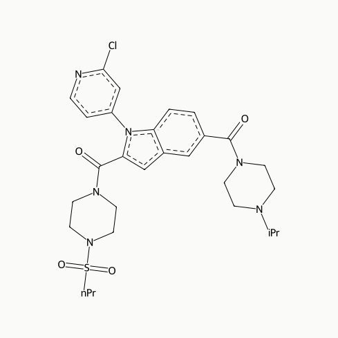 CCCS(=O)(=O)N1CCN(C(=O)c2cc3cc(C(=O)N4CCN(C(C)C)CC4)ccc3n2-c2ccnc(Cl)c2)CC1